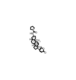 C[C@]12CC[C@H](NC(=O)N3CCCC3)C[C@H]1CC[C@@H]1C2CC[C@]2(C)[C@@H](c3ccc(=O)oc3)CC[C@]12O